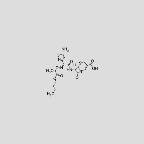 CCCCOC(=O)C(C)ON=C(C(=O)NC1C(=O)N2C=C(C(=O)O)CS[C@H]12)c1nsc(N)n1